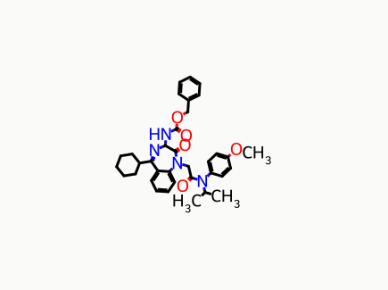 COc1ccc(N(C(=O)CN2C(=O)C(NC(=O)OCc3ccccc3)N=C(C3CCCCC3)c3ccccc32)C(C)C)cc1